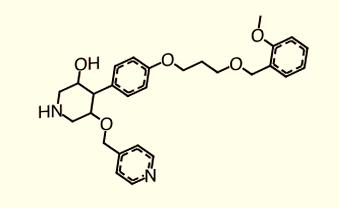 COc1ccccc1COCCCOc1ccc(C2C(O)CNCC2OCc2ccncc2)cc1